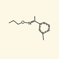 CCCON=C(C)c1cc[c]c(C)c1